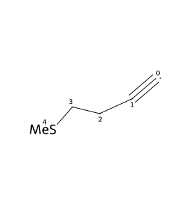 [C]#CCCSC